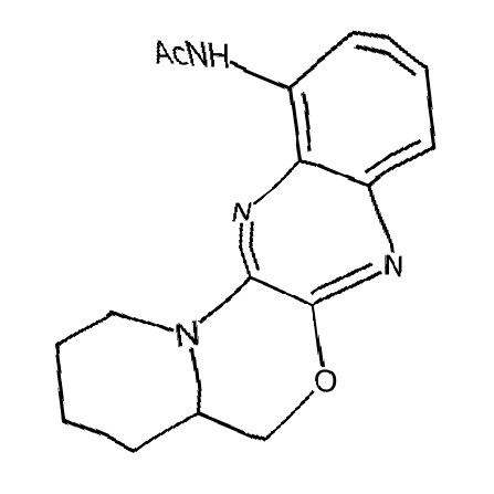 CC(=O)Nc1cccc2nc3c(nc12)N1CCCCC1CO3